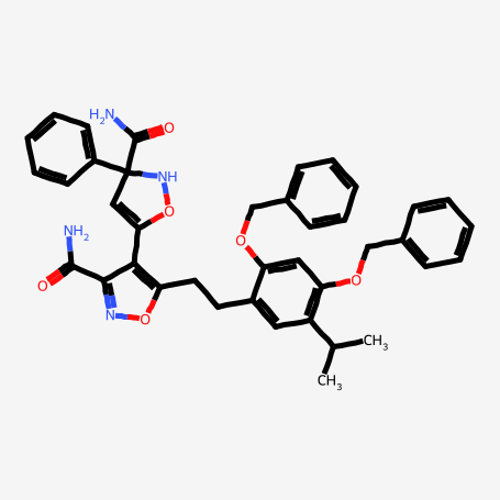 CC(C)c1cc(CCc2onc(C(N)=O)c2C2=CC(C(N)=O)(c3ccccc3)NO2)c(OCc2ccccc2)cc1OCc1ccccc1